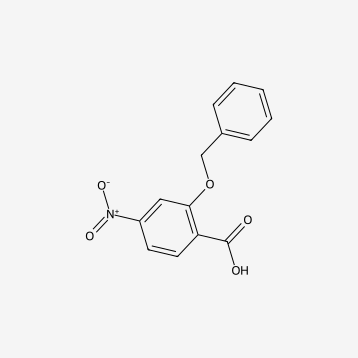 O=C(O)c1ccc([N+](=O)[O-])cc1OCc1ccccc1